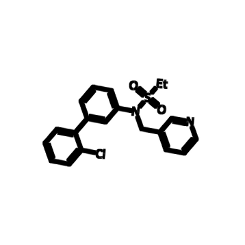 CCS(=O)(=O)N(Cc1cccnc1)c1cccc(-c2ccccc2Cl)c1